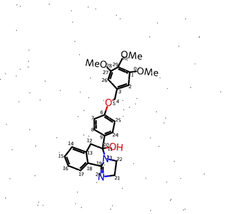 COc1cc(COc2ccc(C3(O)Cc4ccccc4C4=NCCN43)cc2)cc(OC)c1OC